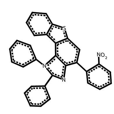 O=[N+]([O-])c1ccccc1-c1cc2sc3ccccc3c2c2c1nc(-c1ccccc1)n2-c1ccccc1